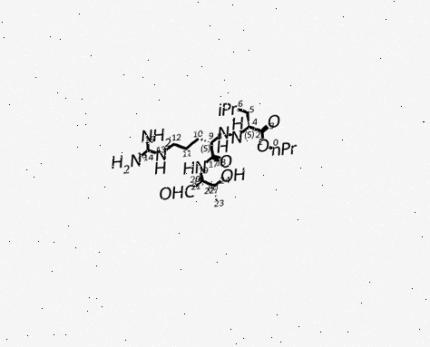 CCCOC(=O)[C@H](CC(C)C)NN[C@@H](CCCNC(N)N)C(=O)N[C@H](C=O)[C@@H](C)O